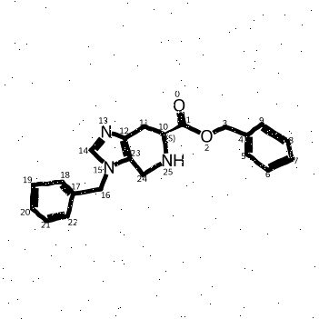 O=C(OCc1ccccc1)[C@@H]1Cc2ncn(Cc3ccccc3)c2CN1